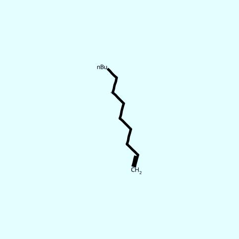 C=CCCCC[CH]CCCCC